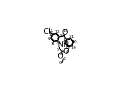 CCOC(=O)CNc1ccc(Cl)cc1C(=O)c1ccccc1